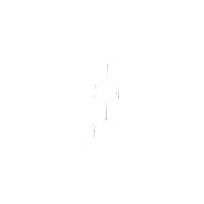 CC(C)CNC(=O)c1ccc(CC(C)(C)C)cc1